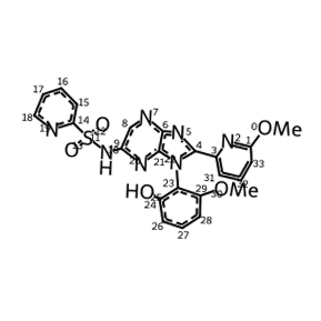 COC1=NC(c2nc3ncc(NS(=O)(=O)c4ccccn4)nc3n2-c2c(O)cccc2OC)=C=C=C1